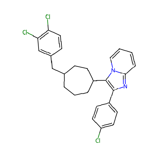 Clc1ccc(-c2nc3ccccn3c2C2CCCC(Cc3ccc(Cl)c(Cl)c3)CC2)cc1